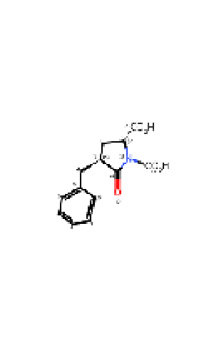 O=C(O)[C@H]1C[C@H](Cc2ccccc2)C(=O)N1C(=O)O